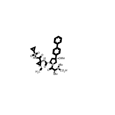 C=C[C@@H]1C[C@]1(NC(=O)[C@@H]1C[C@@](OC)(c2ccc(-c3ccccc3)cc2)CN1C(=O)[C@@H](N(C(=O)O)C(C)(C)C)C(C)(C)C)C(=O)NS(=O)(=O)C1CC1